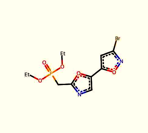 CCOP(=O)(Cc1ncc(-c2cc(Br)no2)o1)OCC